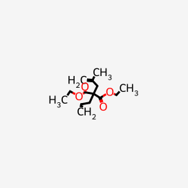 C=CCC(CC(=C)C)(C(=O)OCC)C(=O)OCC